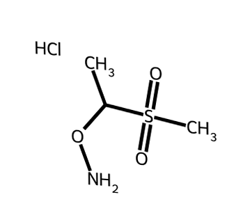 CC(ON)S(C)(=O)=O.Cl